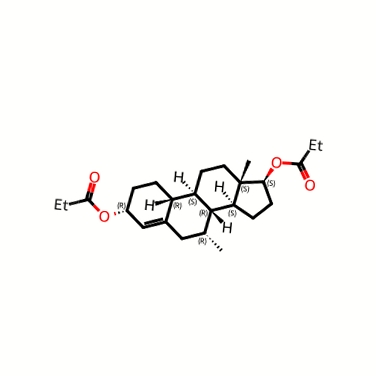 CCC(=O)O[C@H]1CC[C@H]2[C@H]3[C@H](CC[C@]12C)[C@H]1CC[C@@H](OC(=O)CC)C=C1C[C@H]3C